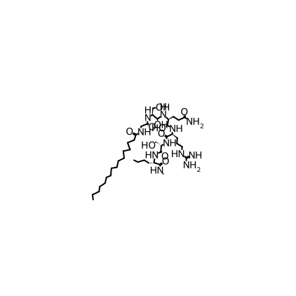 CCCCCCCCCCCCCCCC(=O)NCC(=O)N[C@@H](CO)[C@H](O)N[C@@H](CCC(N)=O)[C@H](O)N[C@@H](CCCNC(=N)N)C(=O)N[C@@H](CO)C(=O)N[C@@H](CCCC)C(=O)NC